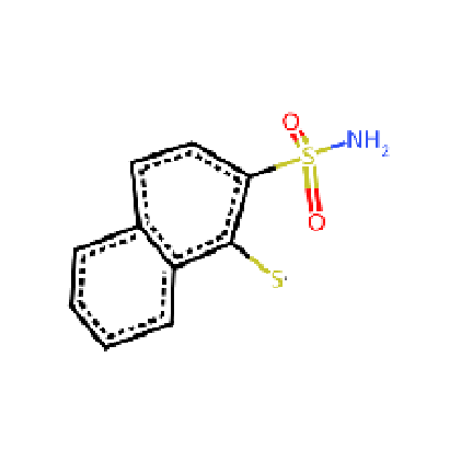 NS(=O)(=O)c1ccc2ccccc2c1[S]